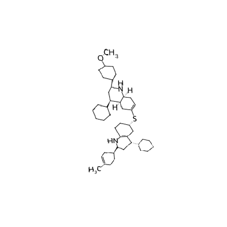 COC1CCC(C2C[C@H](C3CCCCC3)[C@@H]3CC(S[C@H]4CCC5=C(C4)[C@H](C4CCCCC4)CC([C@@H]4CC=C(C)CC4)N5)=CC[C@@H]3N2)CC1